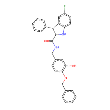 O=C(NCc1ccc(OCc2ccccc2)c(O)c1)C1Nc2ccc(F)cc2C1c1ccccc1